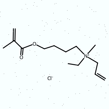 C=CC[N+](C)(CC)CCCCOC(=O)C(=C)C.[Cl-]